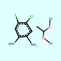 CCOC(C)OCC.O=Cc1cc(F)c(Cl)cc1[N+](=O)[O-]